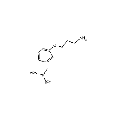 CCCN(CCC)Cc1cccc(OCCCN)c1